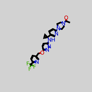 CC(=O)N1CCN(c2ccc(C3(Nc4ccc(OCc5ccc(C(F)(F)F)nc5)nn4)CC3)cn2)CC1